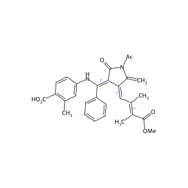 C=C1C(=C\C(C)=C(/C)C(=O)OC)/C(=C(/Nc2ccc(C(=O)O)c(C)c2)c2ccccc2)C(=O)N1C(C)=O